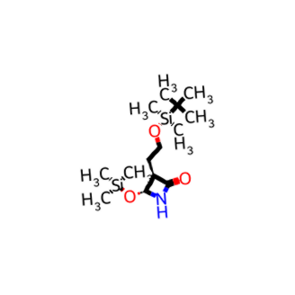 CC(C)(C)[Si](C)(C)OCC[C@H]1C(=O)N[C@@H]1O[Si](C)(C)C